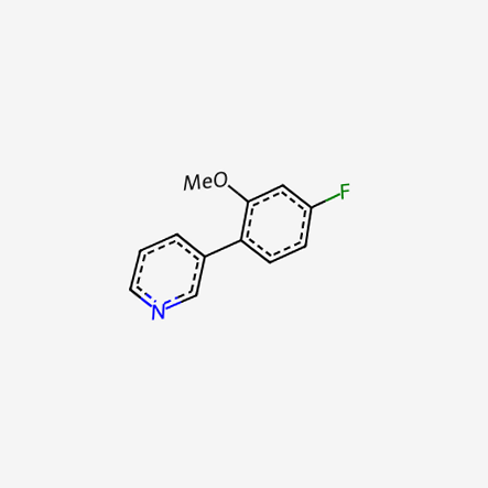 COc1cc(F)ccc1-c1cccnc1